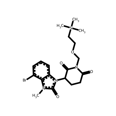 Cn1c(=O)n(C2CCC(=O)N(COCC[Si](C)(C)C)C2=O)c2cccc(Br)c21